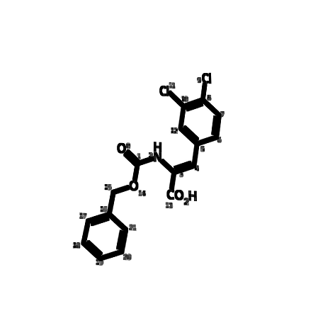 O=C(NC(=Cc1ccc(Cl)c(Cl)c1)C(=O)O)OCc1ccccc1